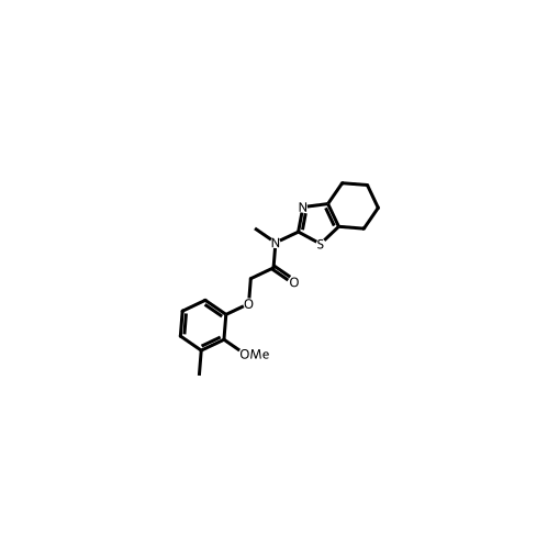 COc1c(C)cccc1OCC(=O)N(C)c1nc2c(s1)CCCC2